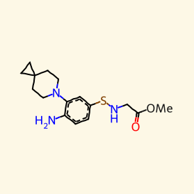 COC(=O)CNSc1ccc(N)c(N2CCC3(CC2)CC3)c1